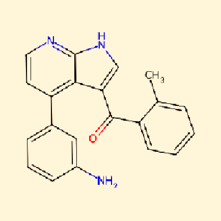 Cc1ccccc1C(=O)c1c[nH]c2nccc(-c3cccc(N)c3)c12